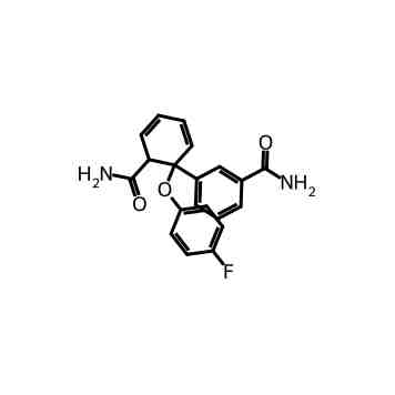 NC(=O)c1cccc(C2(Oc3ccc(F)cc3)C=CC=CC2C(N)=O)c1